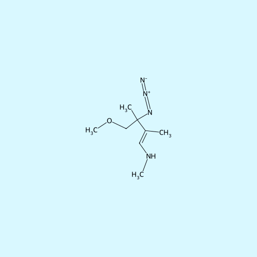 CN/C=C(\C)C(C)(COC)N=[N+]=[N-]